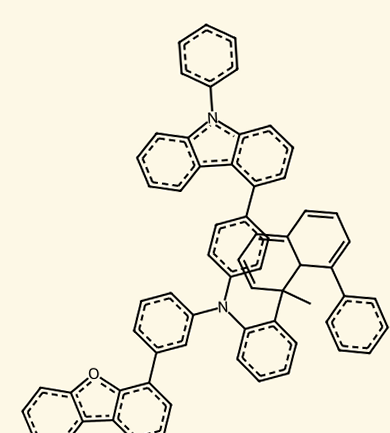 CC1(c2ccccc2N(c2ccc(-c3cccc4c3c3ccccc3n4-c3ccccc3)cc2)c2cccc(-c3cccc4c3oc3ccccc34)c2)C=CC=C2C=CC=C(c3ccccc3)C21